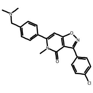 CN(C)Cc1ccc(-c2cc3onc(-c4ccc(Cl)cc4)c3c(=O)n2C)cc1